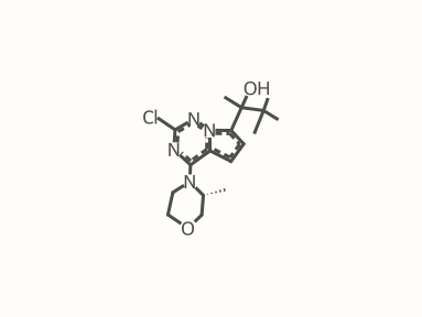 C[C@@H]1COCCN1c1nc(Cl)nn2c(C(C)(O)C(C)(C)C)ccc12